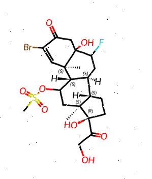 C[C@]12CC(OS(C)(=O)=O)[C@H]3[C@@H](CC(F)C4(O)CC(=O)C(Br)=C[C@]34C)[C@@H]1CC[C@]2(O)C(=O)CO